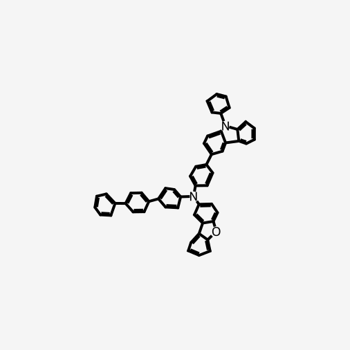 c1ccc(-c2ccc(-c3ccc(N(c4ccc(-c5ccc6c(c5)c5ccccc5n6-c5ccccc5)cc4)c4ccc5oc6ccccc6c5c4)cc3)cc2)cc1